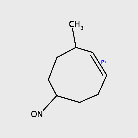 CC1/C=C\CCC(N=O)CC1